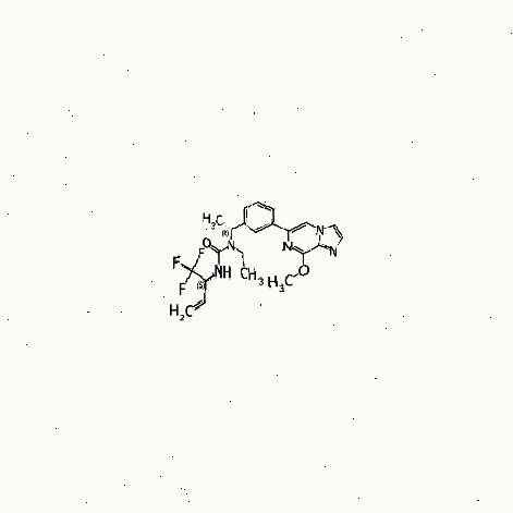 C=C[C@H](NC(=O)N(CC)[C@H](C)c1cccc(-c2cn3ccnc3c(OC)n2)c1)C(F)(F)F